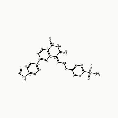 NS(=O)(=O)c1ccc(CNC=C2C(=O)NC(=O)c3ccc(-c4ccc5[nH]ccc5c4)cc32)cc1